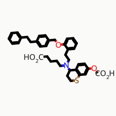 O=C(O)CCCCN(CCc1ccccc1OCc1ccc(CCc2ccccc2)cc1)C1CCSc2cc(OC(=O)O)ccc21